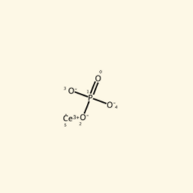 O=P([O-])([O-])[O-].[Ce+3]